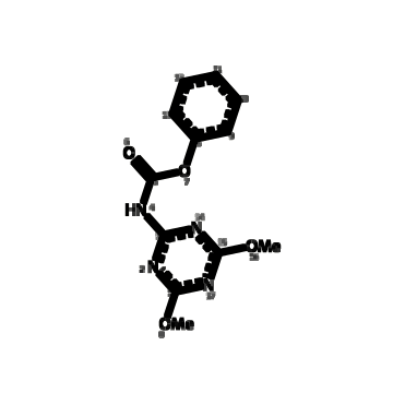 COc1nc(NC(=O)Oc2ccccc2)nc(OC)n1